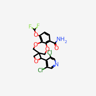 NC(=O)c1ccc(OC(F)F)c2c1OCC1(CO2)COC1c1c(Cl)cncc1Cl